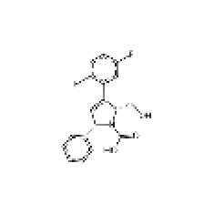 O=C(O)N1[C@@H](CO)C(c2cc(F)ccc2F)=C[C@H]1c1ccccc1